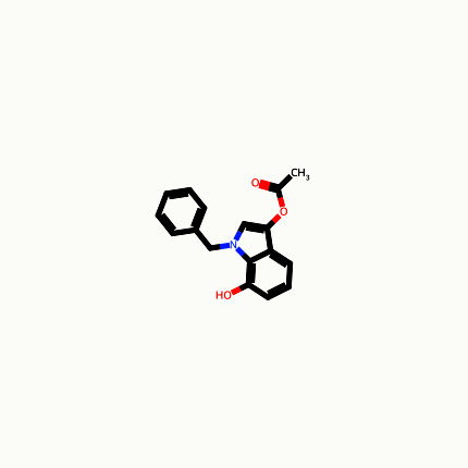 CC(=O)Oc1cn(Cc2ccccc2)c2c(O)cccc12